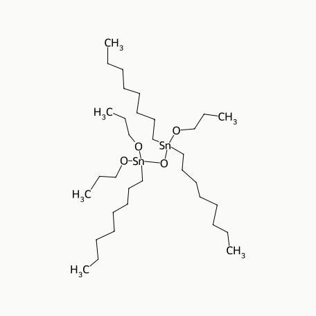 CCCCCCC[CH2][Sn]([CH2]CCCCCCC)([O]CCC)[O][Sn]([CH2]CCCCCCC)([O]CCC)[O]CCC